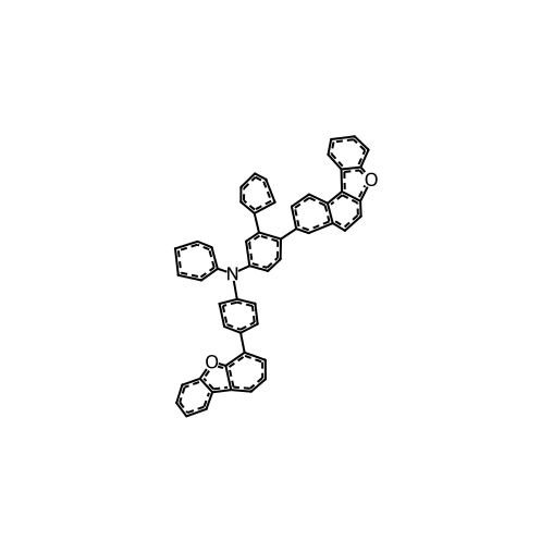 c1ccc(-c2cc(N(c3ccccc3)c3ccc(-c4cccc5c4oc4ccccc45)cc3)ccc2-c2ccc3c(ccc4oc5ccccc5c43)c2)cc1